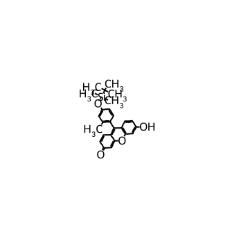 Cc1cc(O[Si](C)(C)C(C)(C)C)ccc1-c1c2ccc(=O)cc-2oc2cc(O)ccc12